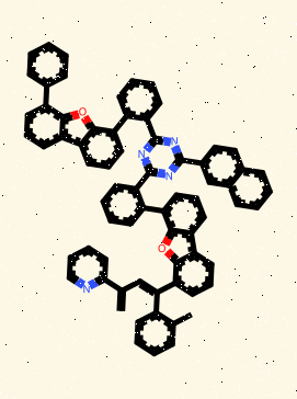 C=C(/C=C(\c1ccccc1C)c1cccc2c1oc1c(-c3ccccc3-c3nc(-c4ccc5ccccc5c4)nc(-c4ccccc4-c4cccc5c4oc4c(-c6ccccc6)cccc45)n3)cccc12)c1ccccn1